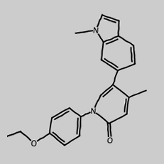 Cc1cc(=O)n(-c2ccc(OCF)cc2)cc1-c1ccc2ccn(C)c2c1